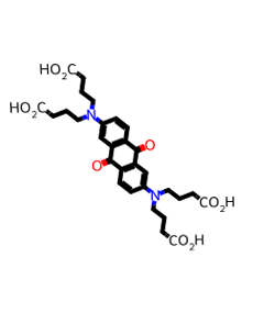 O=C(O)CCCN(CCCC(=O)O)c1ccc2c(c1)C(=O)c1ccc(N(CCCC(=O)O)CCCC(=O)O)cc1C2=O